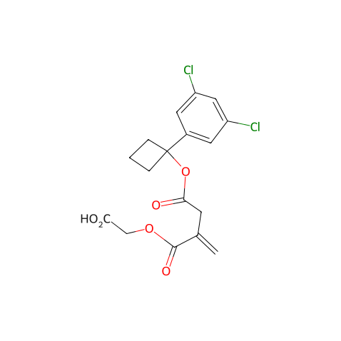 C=C(CC(=O)OC1(c2cc(Cl)cc(Cl)c2)CCC1)C(=O)OCC(=O)O